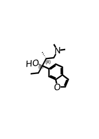 CC[C@](O)(c1ccc2ccoc2c1)[C@H](C)CN(C)C